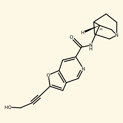 O=C(N[C@H]1CN2CCC1CC2)c1cc2oc(C#CCO)cc2cn1